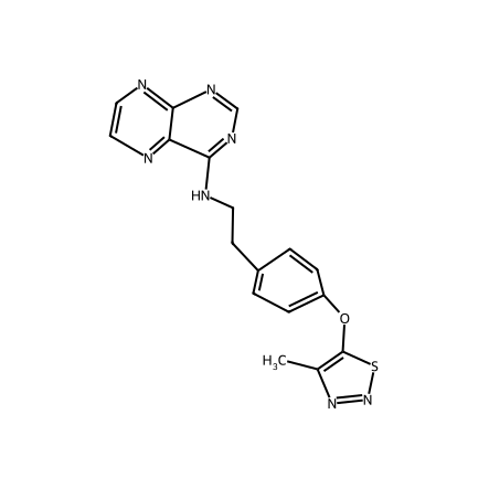 Cc1nnsc1Oc1ccc(CCNc2ncnc3nccnc23)cc1